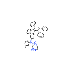 Cc1cccc(N(C2=CNCC=N2)c2ccc3c4c(c5ccccc5c3c2)=C(c2ccccc2)CC(c2ccccc2)C=4c2ccccc2)c1